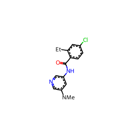 CCc1cc(Cl)ccc1C(=O)Nc1cncc(NC)c1